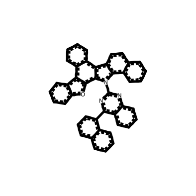 c1ccc2c(-c3nc(-n4c5c6ccccc6ccc5c5c6ccccc6c6c7ccccc7oc6c54)nc4ccccc34)cccc2c1